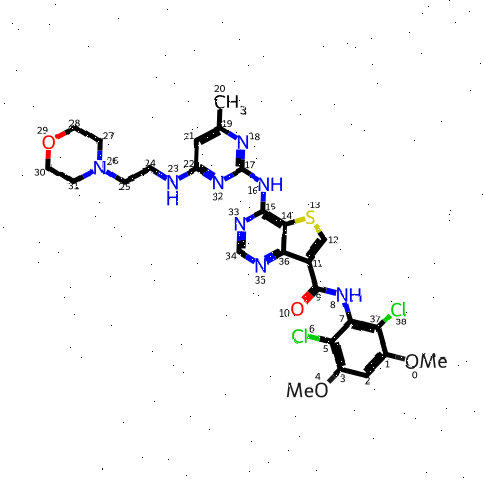 COc1cc(OC)c(Cl)c(NC(=O)c2csc3c(Nc4nc(C)cc(NCCN5CCOCC5)n4)ncnc23)c1Cl